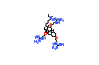 CCN(C)CCC[C@@H](C)[C@H]1CC[C@H]2C3[C@H](OCCNC(=N)N)CC4C[C@H](OCCNC(=N)N)CC[C@]4(C)[C@H]3C[C@H](OCCNC(=N)N)C12C